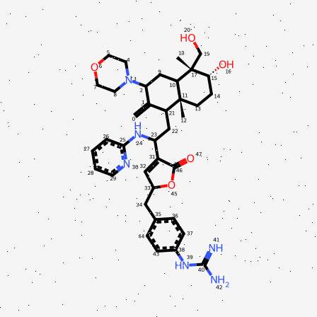 C=C1C(N2CCOCC2)CC2[C@](C)(CC[C@@H](O)[C@@]2(C)CO)C1CC(Nc1ccccn1)C1=CC(Cc2ccc(NC(=N)N)cc2)OC1=O